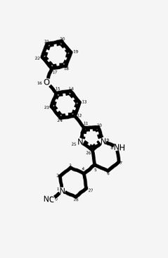 N#CN1CCC(C2CCNn3cc(-c4ccc(Oc5ccccc5)cc4)nc32)CC1